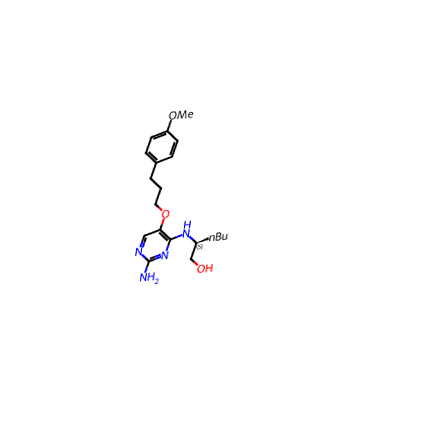 CCCC[C@@H](CO)Nc1nc(N)ncc1OCCCc1ccc(OC)cc1